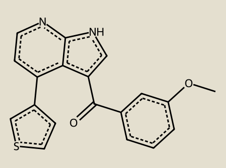 COc1cccc(C(=O)c2c[nH]c3nccc(-c4ccsc4)c23)c1